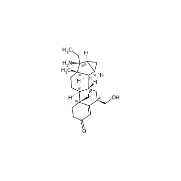 CC[C@]1(N)[C@H]2C[C@H]2[C@H]2[C@@H]3C[C@@H](CO)C4=CC(=O)CC[C@@H]4[C@H]3CC[C@@]21C